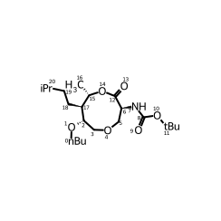 CCCCO[C@H]1COC[C@H](NC(=O)OC(C)(C)C)C(=O)O[C@@H](C)[C@@H]1CCC(C)C